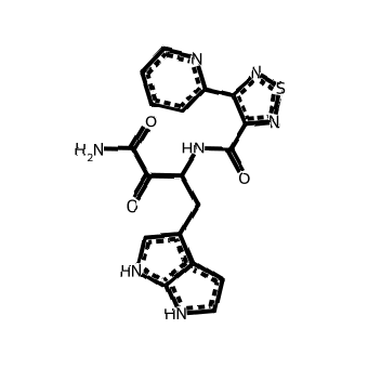 NC(=O)C(=O)C(Cc1c[nH]c2[nH]ccc12)NC(=O)c1nsnc1-c1ccccn1